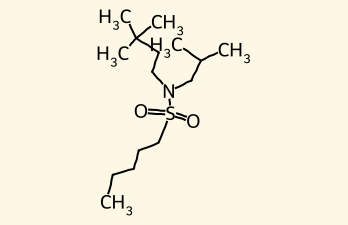 CCCCCS(=O)(=O)N(CCC(C)(C)C)CC(C)C